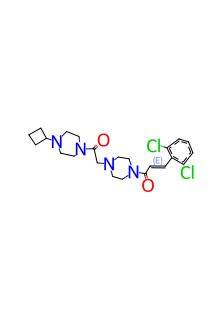 O=C(/C=C/c1c(Cl)cccc1Cl)N1CCN(CC(=O)N2CCN(C3CCC3)CC2)CC1